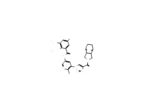 COc1c(C#N)cc(C(C)(C)C)cc1C(=O)Nc1cnc(C)c(-n2cc(C(=O)N3CC4C5CCC(O5)C4C3)nn2)c1